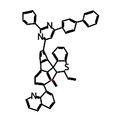 C=CC1Sc2ccccc2C2(c3cc(-c4cc(-c5ccc(-c6ccccc6)cc5)nc(-c5ccccc5)n4)ccc3-c3ccc(-c4cccc5cccnc45)cc32)C1C=C